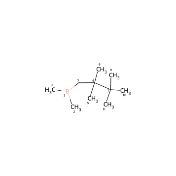 CB(C)CC(C)(C)C(C)(C)C